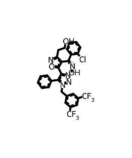 OCCc1noc(-c2nnn(Cc3cc(C(F)(F)F)cc(C(F)(F)F)c3)c2-c2ccccc2)c1/C(=N\O)c1ccccc1Cl